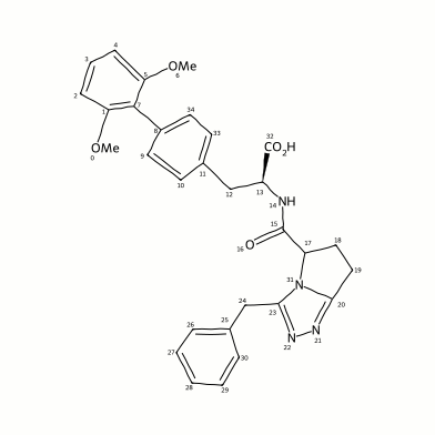 COc1cccc(OC)c1-c1ccc(C[C@H](NC(=O)C2CCc3nnc(Cc4ccccc4)n32)C(=O)O)cc1